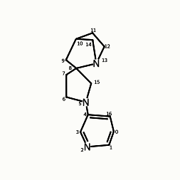 c1cncc(N2CCC3(CC4CCN3C4)C2)c1